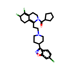 O=C(C1CCCC1)N1CCC2=C(F)C(F)CCC2=C1CCN1CCC(c2noc3cc(F)ccc23)CC1